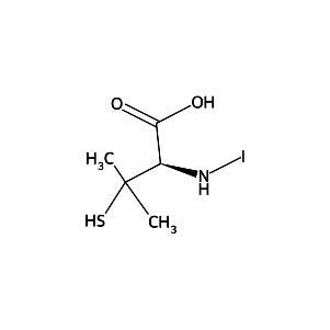 CC(C)(S)[C@H](NI)C(=O)O